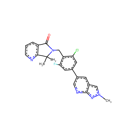 BC1(B)c2ncccc2C(=O)N1Cc1c(F)cc(-c2cnc3nn(C)cc3c2)cc1Cl